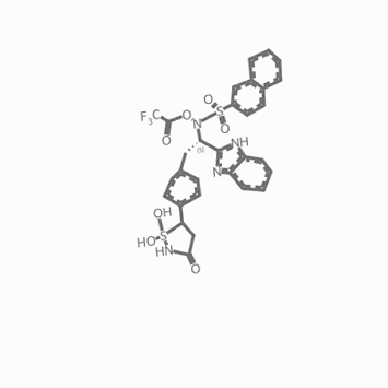 O=C1CC(c2ccc(C[C@@H](c3nc4ccccc4[nH]3)N(OC(=O)C(F)(F)F)S(=O)(=O)c3ccc4ccccc4c3)cc2)S(O)(O)N1